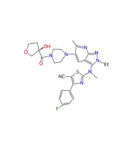 CCn1nc2nc(C)c(N3CCN(C(=O)[C@@]4(O)CCOC4)CC3)cc2c1N(C)c1nc(-c2ccc(F)cc2)c(C#N)s1